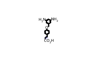 Nc1cc(N)cc(COc2ccc(/C=C/C(=O)O)cc2)c1